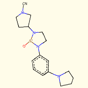 N#CN1CCC(N2CCN(c3cccc(N4CCCC4)c3)[S+]2[O-])C1